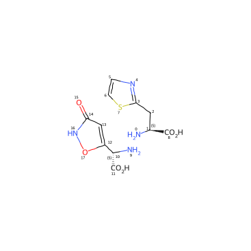 N[C@@H](Cc1nccs1)C(=O)O.N[C@H](C(=O)O)c1cc(=O)[nH]o1